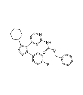 O=C(Nc1nccc(-c2c(-c3ccc(F)cc3)ncn2C2CCCCC2)n1)OCc1ccccc1